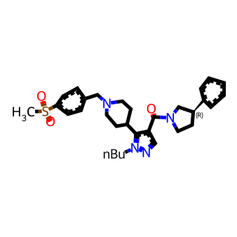 CCCCn1ncc(C(=O)N2CC[C@H](c3ccccc3)C2)c1C1CCN(Cc2ccc(S(C)(=O)=O)cc2)CC1